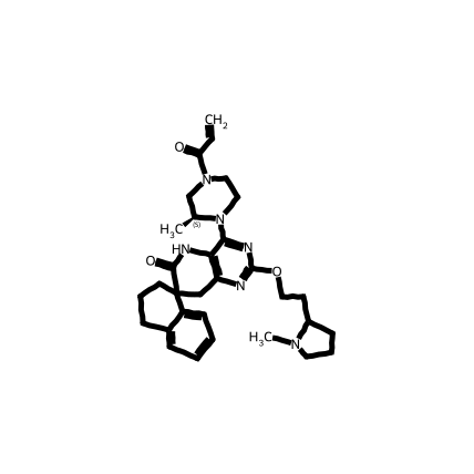 C=CC(=O)N1CCN(c2nc(OCCC3CCCN3C)nc3c2NC(=O)C2(CCCc4ccccc42)C3)[C@@H](C)C1